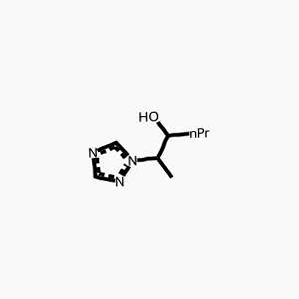 CCCC(O)C(C)n1cncn1